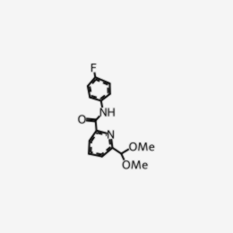 COC(OC)c1cccc(C(=O)Nc2ccc(F)cc2)n1